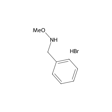 Br.CONCc1ccccc1